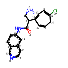 NCC(C(=O)Nc1ccc2cnccc2c1)C1=CC=C(Cl)CC=C1